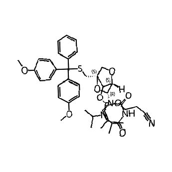 COc1ccc(C(SC[C@]23CO[C@@H](C2OP(OCCC#N)N(C(C)C)C(C)C)[C@H](n2cc(C)c(=O)[nH]c2=O)O3)(c2ccccc2)c2ccc(OC)cc2)cc1